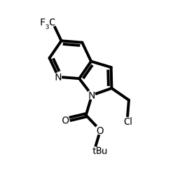 CC(C)(C)OC(=O)n1c(CCl)cc2cc(C(F)(F)F)cnc21